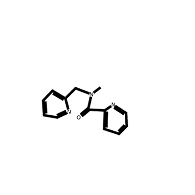 CN(Cc1ccccn1)C(=O)c1ccccn1